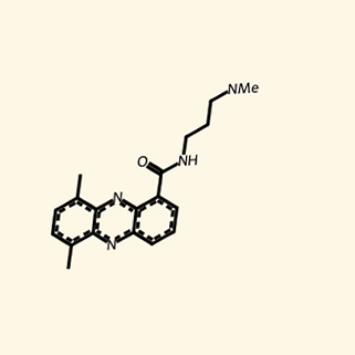 CNCCCNC(=O)c1cccc2nc3c(C)ccc(C)c3nc12